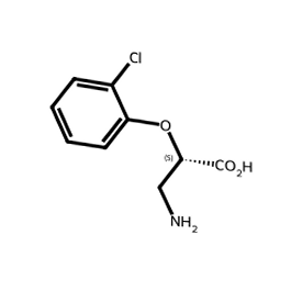 NC[C@H](Oc1ccccc1Cl)C(=O)O